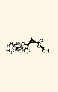 CCOC(=O)C1CC1CO[Si](C)(C)C(C)(C)C